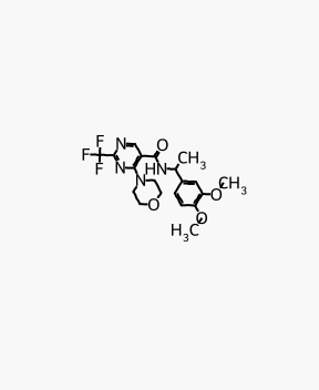 COc1ccc(C(C)NC(=O)c2cnc(C(F)(F)F)nc2N2CCOCC2)cc1OC